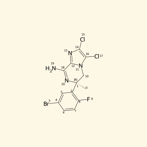 C[C@@]1(c2cc(Br)ccc2F)Cn2c(nc(Cl)c2Cl)C(N)=N1